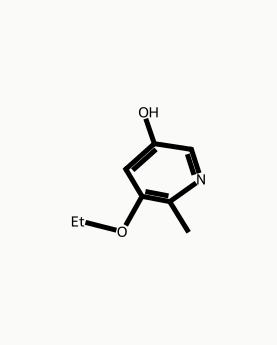 CCOc1cc(O)cnc1C